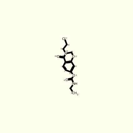 CCNC(=O)Oc1ccc2c(c1)OCN(CCCl)C2=O